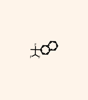 CC(F)([C](F)F)c1ccc2ccccc2c1